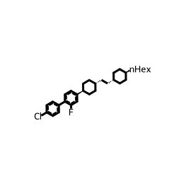 CCCCCC[C@H]1CC[C@H](CC[C@H]2CC[C@H](c3ccc(-c4ccc(Cl)cc4)c(F)c3)CC2)CC1